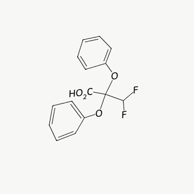 O=C(O)C(Oc1ccccc1)(Oc1ccccc1)C(F)F